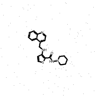 O=C(NN1CCCCC1)c1sccc1NCc1ccnc2ccccc12